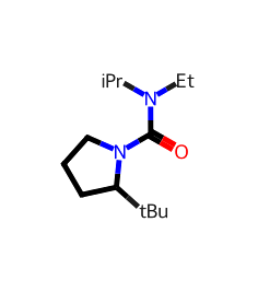 CCN(C(=O)N1CCCC1C(C)(C)C)C(C)C